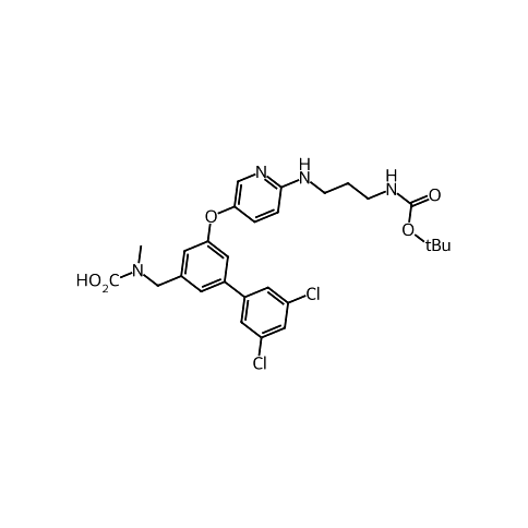 CN(Cc1cc(Oc2ccc(NCCCNC(=O)OC(C)(C)C)nc2)cc(-c2cc(Cl)cc(Cl)c2)c1)C(=O)O